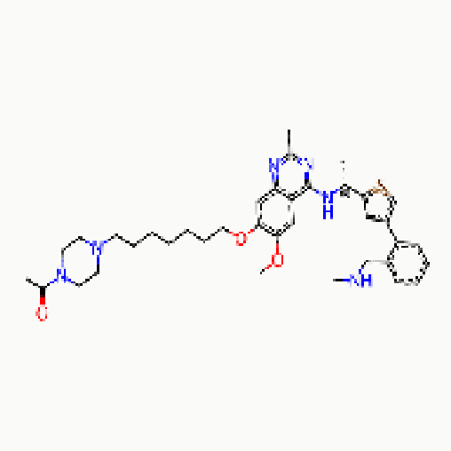 CNCc1ccccc1-c1csc([C@@H](C)Nc2nc(C)nc3cc(OCCCCCCCN4CCN(C(C)=O)CC4)c(OC)cc23)c1